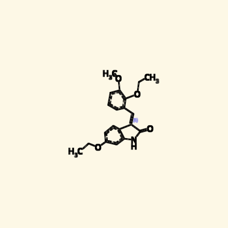 CCOc1ccc2c(c1)NC(=O)/C2=C/c1cccc(OC)c1OCC